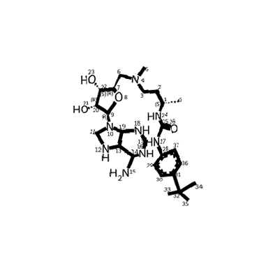 C[C@@H](CCN(C)C[C@H]1O[C@@H](N2CNC3C(N)NCNC32)[C@H](O)[C@@H]1O)NC(=O)Nc1ccc(C(C)(C)C)cc1